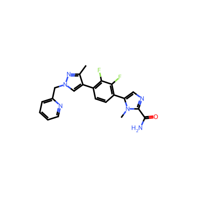 Cc1nn(Cc2ccccn2)cc1-c1ccc(-c2cnc(C(N)=O)n2C)c(F)c1F